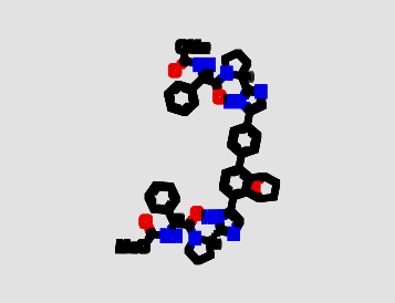 COC(=O)N[C@H](C(=O)N1CCC[C@H]1c1ncc(-c2ccc(-c3ccc(-c4cnc([C@@H]5CCCN5C(=O)[C@@H](NC(=O)OC)c5ccccc5)[nH]4)c4c3C3CCC4O3)cc2)[nH]1)c1ccccc1